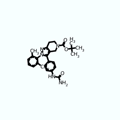 Cc1cccc(C)c1-n1nc2c(c1-c1ccc(NC(N)=O)cc1)CN(C(=O)OC(C)(C)C)CC2